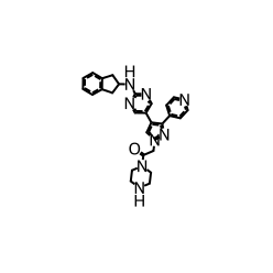 O=C(Cn1cc(-c2cnc(NC3Cc4ccccc4C3)nc2)c(-c2ccncc2)n1)N1CCNCC1